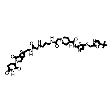 CC(C)(C)c1cnc(CSc2cnc(NC(=O)C3CCN(CC(=O)NCCCNCC(=O)NCc4cc5c(s4)C(=O)N(C4CCC(=O)NC4=O)C5)CC3)s2)o1